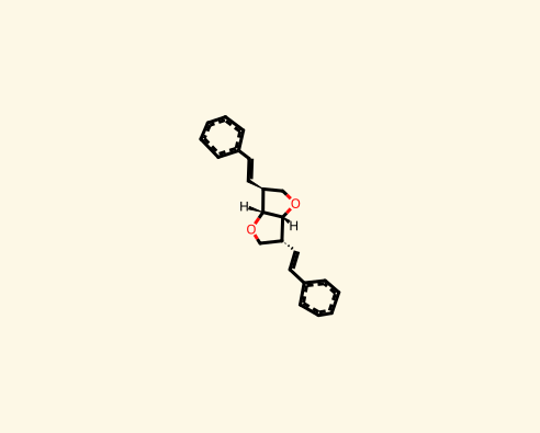 C(=C[C@@H]1CO[C@H]2[C@@H]1OC[C@@H]2C=Cc1ccccc1)c1ccccc1